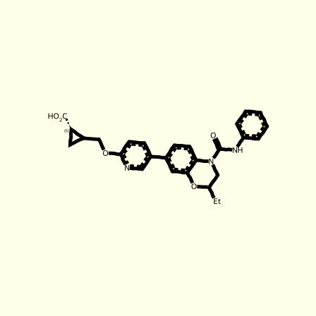 CCC1CN(C(=O)Nc2ccccc2)c2ccc(-c3ccc(OCC4C[C@@H]4C(=O)O)nc3)cc2O1